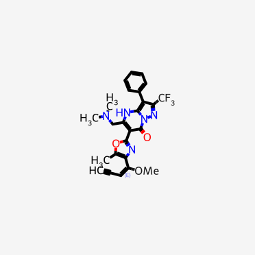 C#C/C=C(/OC)c1nc(-c2c(CN(C)C)[nH]c3c(-c4ccccc4)c(C(F)(F)F)nn3c2=O)oc1C